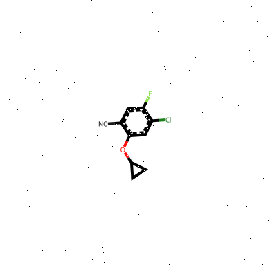 N#Cc1cc(F)c(Cl)cc1OC1CC1